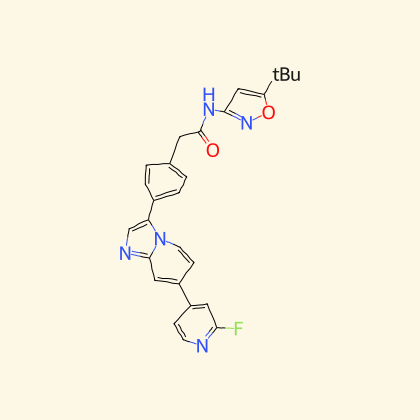 CC(C)(C)c1cc(NC(=O)Cc2ccc(-c3cnc4cc(-c5ccnc(F)c5)ccn34)cc2)no1